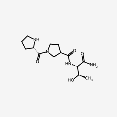 C[C@@H](O)[C@H](NC(=O)C1CCN(C(=O)[C@@H]2CCCN2)C1)C(N)=O